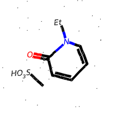 CCn1ccccc1=O.CS(=O)(=O)O